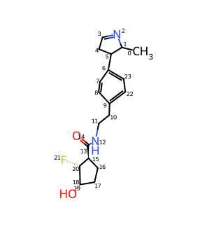 CC1N=CCC1c1ccc(CCNC(=O)[C@H]2CC[C@H](O)[C@@H]2F)cc1